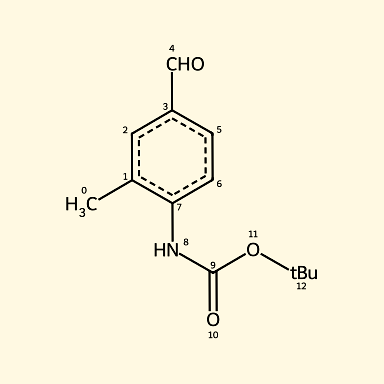 Cc1cc(C=O)ccc1NC(=O)OC(C)(C)C